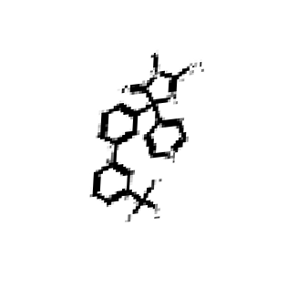 CN1C(=O)C(c2ccncc2)(c2cccc(-c3cccc(C(F)(F)F)c3)c2)N=C1N